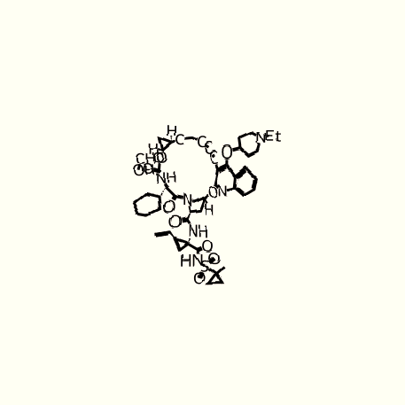 C=C[C@@H]1C[C@]1(NC(=O)[C@@H]1C[C@@H]2CN1C(=O)[C@H](C1CCCCC1)NC(=O)O[C@@H]1C[C@H]1CCCCCc1c(nc3ccccc3c1OC1CCN(CC)CC1)O2)C(=O)NS(=O)(=O)C1(C)CC1.O=CO